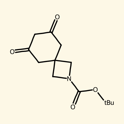 CC(C)(C)OC(=O)N1CC2(CC(=O)CC(=O)C2)C1